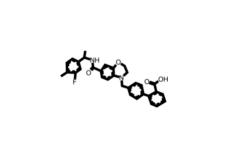 Cc1ccc(C(C)NC(=O)c2ccc3c(c2)OCCN3Cc2ccc(-c3ccccc3C(=O)O)cc2)cc1F